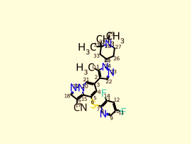 Cc1c(-c2cc(Sc3ncc(F)cc3F)c3c(C#N)cnn3c2)cnn1[C@H]1CCN(C)C(C)(C)C1